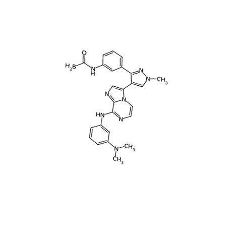 BC(=O)Nc1cccc(-c2nn(C)cc2-c2cnc3c(Nc4cccc(N(C)C)c4)nccn23)c1